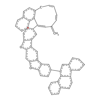 C=C1/C=C\C=C/Cc2ccc3ccccc3c2/C(c2ccc3oc4cc5oc6ccc(-c7cc8ccccc8c8ccc9ccccc9c78)cc6c5cc4c3c2)=C\1